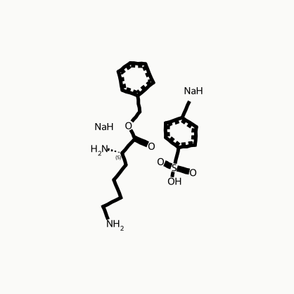 Cc1ccc(S(=O)(=O)O)cc1.NCCCC[C@H](N)C(=O)OCc1ccccc1.[NaH].[NaH]